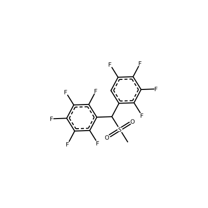 CS(=O)(=O)C(c1cc(F)c(F)c(F)c1F)c1c(F)c(F)c(F)c(F)c1F